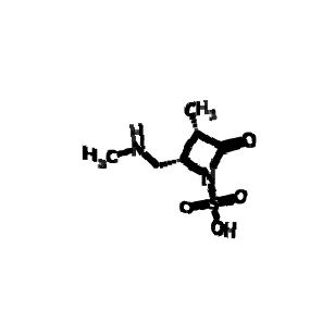 CNC[C@@H]1[C@H](C)C(=O)N1S(=O)(=O)O